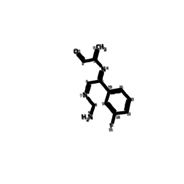 C=C(C=O)/N=C(\C=N/CN)c1cccc(F)c1